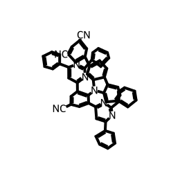 N#Cc1cc(C#N)cc(-c2ccc3c4ccccc4n(-c4c(-c5cc(-c6ccccc6)nc(-c6ccccc6)n5)cc(C#N)cc4-c4cc(-c5ccccc5)nc(-c5ccccc5)n4)c3c2)c1